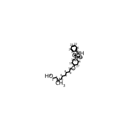 CN(CCO)CCCCCCOC1CCN(S(=O)(=O)Nc2ccccc2)CC1